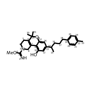 COC(=N)N1CCC2=C(C1)c1c(O)cc(C(C)CCCc3ccc(C)cc3)cc1OC2(C)C